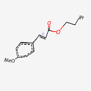 COc1ccc(/C=C/C(=O)OCCC(C)C)cc1